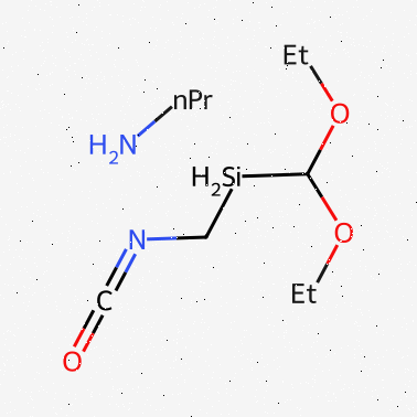 CCOC(OCC)[SiH2]CN=C=O.[CH2]CCN